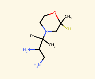 CCC(C)(C(N)CN)N1CCOC(C)(S)C1